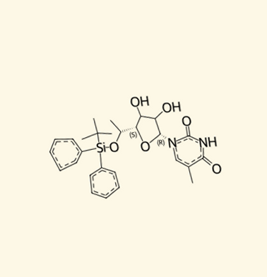 Cc1cn([C@@H]2O[C@H](C(C)O[Si](c3ccccc3)(c3ccccc3)C(C)(C)C)C(O)C2O)c(=O)[nH]c1=O